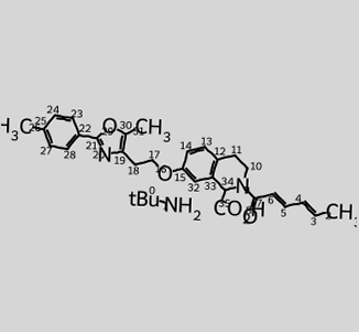 CC(C)(C)N.CC=CC=CC(=O)N1CCc2ccc(OCCc3nc(-c4ccc(C)cc4)oc3C)cc2C1C(=O)O